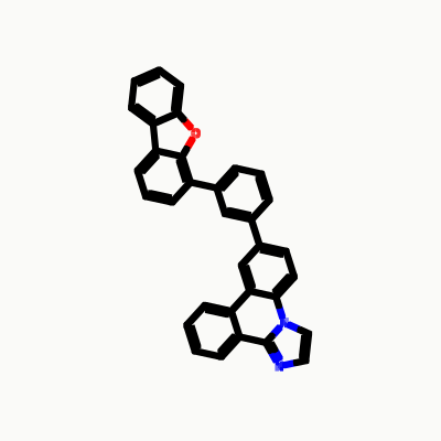 c1cc(-c2ccc3c(c2)c2ccccc2c2nccn32)cc(-c2cccc3c2oc2ccccc23)c1